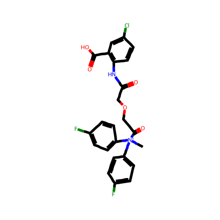 C[N+](C(=O)COCC(=O)Nc1ccc(Cl)cc1C(=O)O)(c1ccc(F)cc1)c1ccc(F)cc1